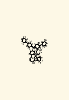 C1=CC2c3ccc(N(c4ccc(-c5ccccc5)cc4)c4ccc(-c5ccccc5)cc4)cc3C34C5=C(CCC=C5)c5cccc(c53)C(=C1)C24